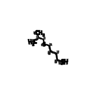 CC(C)CSCCCCS